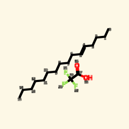 CCCCC=CCCCCCCCCCC.O=C(O)C(F)(F)F